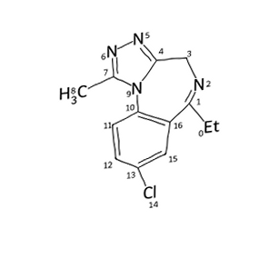 CCC1=NCc2nnc(C)n2-c2ccc(Cl)cc21